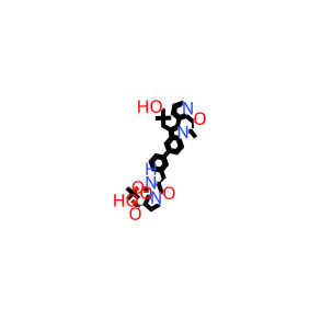 CCn1c(-c2cccnc2[C@H](C)OC)c(CC(C)(C)CO)c2cc(-c3cccc(C[C@H](NC(=O)OC(C)(C)C)C(=O)N4CC[C@H](C(=O)O)C4)c3)ccc21